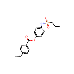 C=Cc1ccc(C(=O)Oc2ccc(NS(=O)(=O)CCC)cc2)cc1